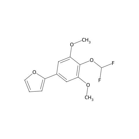 COc1cc(-c2ccco2)cc(OC)c1OC(F)F